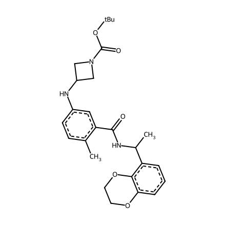 Cc1ccc(NC2CN(C(=O)OC(C)(C)C)C2)cc1C(=O)NC(C)c1cccc2c1OCCO2